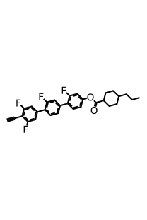 C#Cc1c(F)cc(-c2ccc(-c3ccc(OC(=O)C4CCC(CCC)CC4)cc3F)cc2F)cc1F